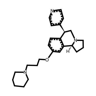 c1cc([C@H]2CN3CCC[C@H]3c3cc(OCCCN4CCCCC4)ccc32)ccn1